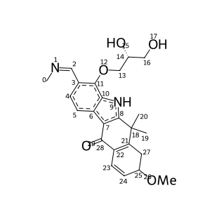 C/N=C\c1ccc2c3c([nH]c2c1OC[C@H](O)CO)C(C)(C)C1=C(C=CC(OC)C1)C3=O